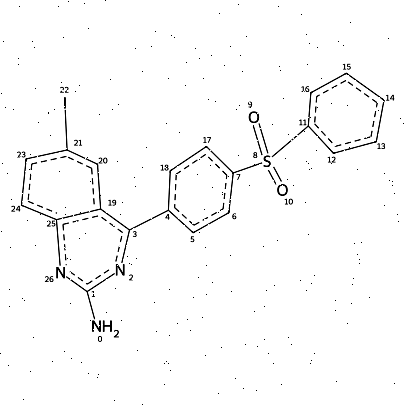 Nc1nc(-c2ccc(S(=O)(=O)c3ccccc3)cc2)c2cc(I)ccc2n1